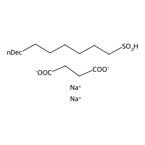 CCCCCCCCCCCCCCCCS(=O)(=O)O.O=C([O-])CCC(=O)[O-].[Na+].[Na+]